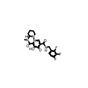 CN1C(=O)c2c(O)c(=O)c(C(=O)NCc3ccc(F)c(F)c3F)cn2N2CCCC[C@@H]12